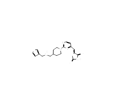 O=C1NC(=O)C(=Cc2ccnc(N3CCC(CNCc4ccsc4)CC3)n2)S1